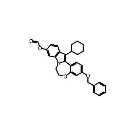 O=COc1ccc2c(C3CCCCC3)c3n(c2c1)CCOc1cc(OCc2ccccc2)ccc1-3